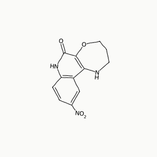 O=c1[nH]c2ccc([N+](=O)[O-])cc2c2c1OCCCN2